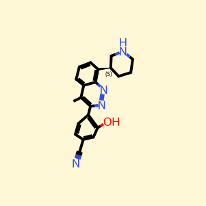 Cc1c(-c2ccc(C#N)cc2O)nnc2c([C@@H]3CCCNC3)cccc12